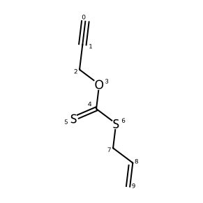 C#CCOC(=S)SCC=C